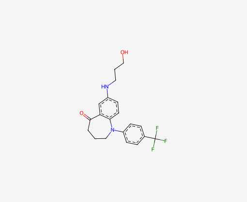 O=C1CCCN(c2ccc(C(F)(F)F)cc2)c2ccc(NCCCO)cc21